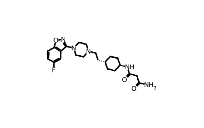 NC(=O)CC(=O)N[C@H]1CC[C@H](CCN2CCN(c3noc4ccc(F)cc34)CC2)CC1